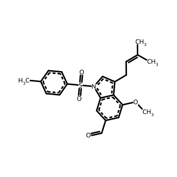 COc1cc(C=O)cc2c1c(CC=C(C)C)cn2S(=O)(=O)c1ccc(C)cc1